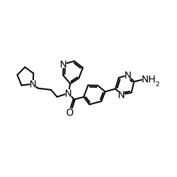 Nc1cnc(-c2ccc(C(=O)N(CCCN3CCCC3)c3cccnc3)cc2)cn1